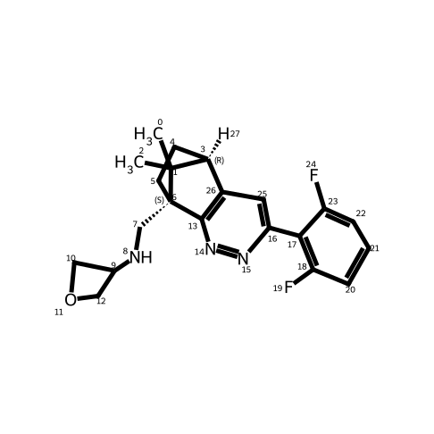 CC1(C)[C@H]2CC[C@]1(CNC1COC1)c1nnc(-c3c(F)cccc3F)cc12